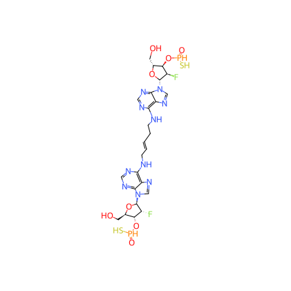 O=[PH](S)O[C@H]1[C@@H](F)[C@H](n2cnc3c(NC/C=C/CCNc4ncnc5c4ncn5[C@@H]4O[C@H](CO)[C@@H](O[PH](=O)S)[C@H]4F)ncnc32)O[C@@H]1CO